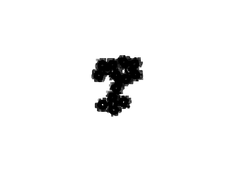 c1ccc(-c2c3ccccc3c(-c3ccccc3)c3cc(-c4ccc(-n5c6ccc(-c7cccc8c7oc7c(-c9ccccc9)cccc78)cc6c6cc(-c7cccc8c7oc7c(-c9ccccc9)cccc78)ccc65)cc4)ccc23)cc1